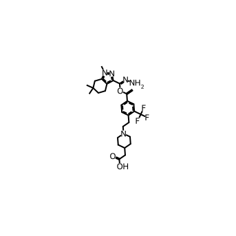 C=C(O/C(=N\N)c1nn(C)c2c1CCC(C)(C)C2)c1ccc(CCN2CCC(CC(=O)O)CC2)c(C(F)(F)F)c1